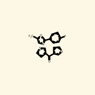 Fc1ccc(-c2ncc(C(F)(F)F)o2)cc1.O=C(c1ccsc1)c1ccsc1